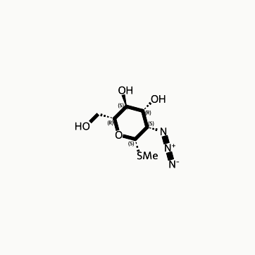 CS[C@@H]1O[C@H](CO)[C@@H](O)[C@H](O)[C@@H]1N=[N+]=[N-]